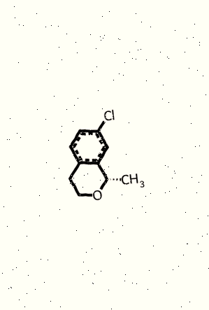 C[C@@H]1OCCc2ccc(Cl)cc21